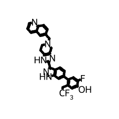 Oc1cc(CC(F)(F)F)c(-c2ccc3c(-c4nc5c([nH]4)CCN(Cc4ccc6ncccc6c4)C5)n[nH]c3c2)cc1F